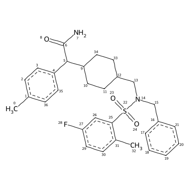 Cc1ccc(C(C(N)=O)C2CCC(CN(Cc3ccccc3)S(=O)(=O)c3cc(F)ccc3C)CC2)cc1